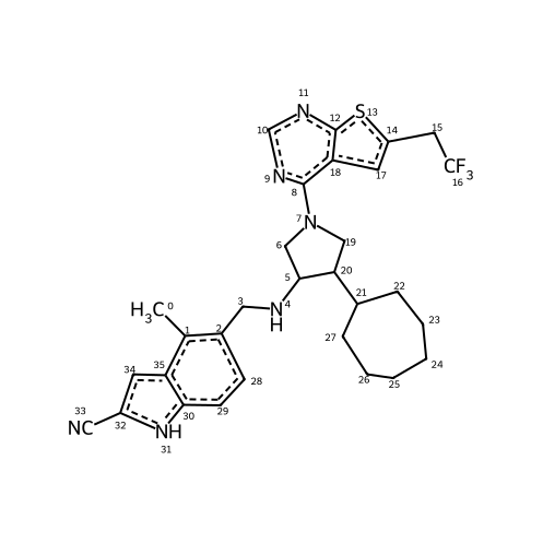 Cc1c(CNC2CN(c3ncnc4sc(CC(F)(F)F)cc34)CC2C2CCCCCC2)ccc2[nH]c(C#N)cc12